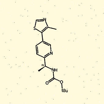 Cc1ncsc1-c1ccc([C@H](C)NC(=O)OC(C)(C)C)nc1